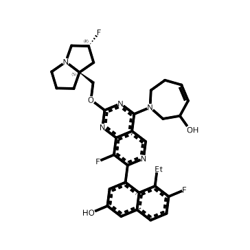 CCc1c(F)ccc2cc(O)cc(-c3ncc4c(N5CCC=CC(O)C5)nc(OC[C@@]56CCCN5C[C@H](F)C6)nc4c3F)c12